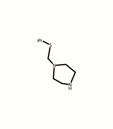 CC(C)SCN1CCNCC1